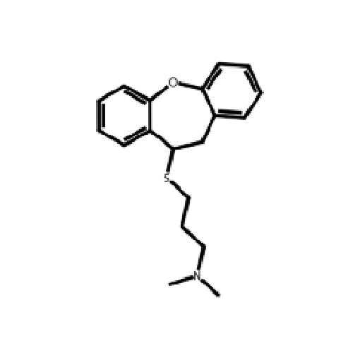 CN(C)CCCSC1Cc2ccccc2Oc2ccccc21